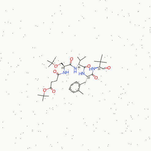 Cc1ccccc1C[C@H](NC(=O)[C@H](NC(=O)[C@H](COC(C)(C)C)NC(=O)CCC(=O)OC(C)(C)C)C(C)C)C(=O)N[C@H]([C]=O)C(C)(C)C